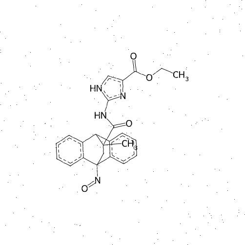 CCOC(=O)c1c[nH]c(NC(=O)C2(C)CC3(N=O)c4ccccc4C2c2ccccc23)n1